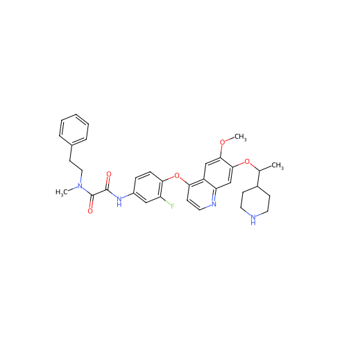 COc1cc2c(Oc3ccc(NC(=O)C(=O)N(C)CCc4ccccc4)cc3F)ccnc2cc1OC(C)C1CCNCC1